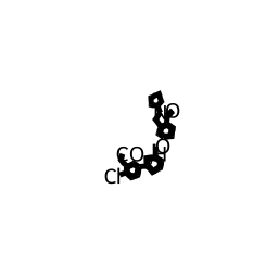 O=C(O)Cc1cc(-c2cccc(COc3ccc4c(c3)CN(C3CCCC3)C4=O)c2)ccc1Cl